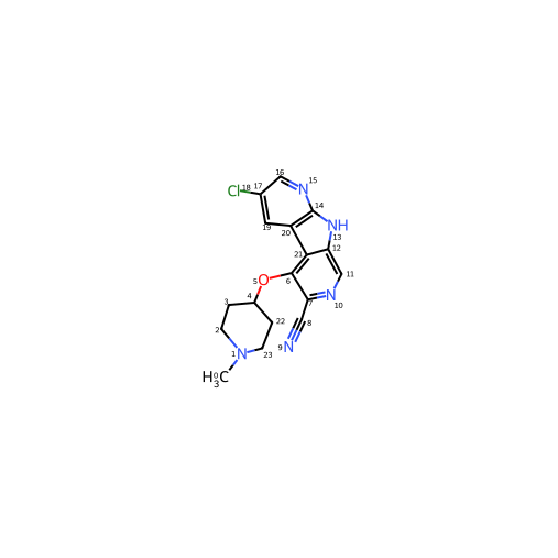 CN1CCC(Oc2c(C#N)ncc3[nH]c4ncc(Cl)cc4c23)CC1